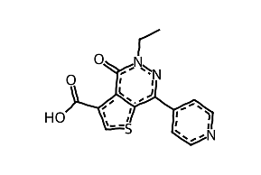 CCn1nc(-c2ccncc2)c2scc(C(=O)O)c2c1=O